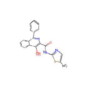 O=C(Nc1ncc([N+](=O)[O-])s1)c1nc(-c2ccccc2)c2ccccc2c1O